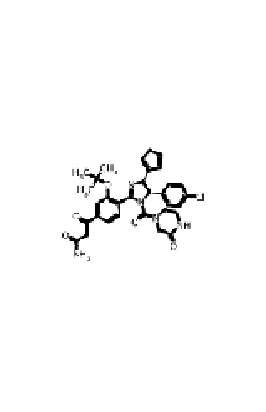 CC(C)(C)Oc1cc(C(=O)CC(N)=O)ccc1C1=N[C@@H](C2=CCC=C2)[C@@H](c2ccc(Cl)cc2)N1C(=O)N1CCNC(=O)C1